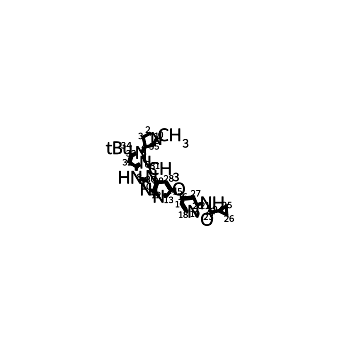 CN1CCC(n2nc(Nc3nc4ncc(Oc5ccnc(NC(=O)C6CC6)c5)cc4n3C)cc2C(C)(C)C)C1